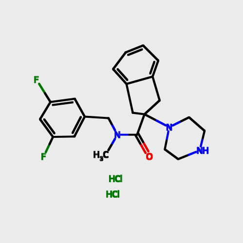 CN(Cc1cc(F)cc(F)c1)C(=O)C1(N2CCNCC2)Cc2ccccc2C1.Cl.Cl